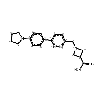 NC(=O)C1CN(Cc2ccc(-c3ccc(N4CCCC4)cc3)nn2)C1